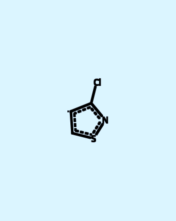 Clc1[c]csn1